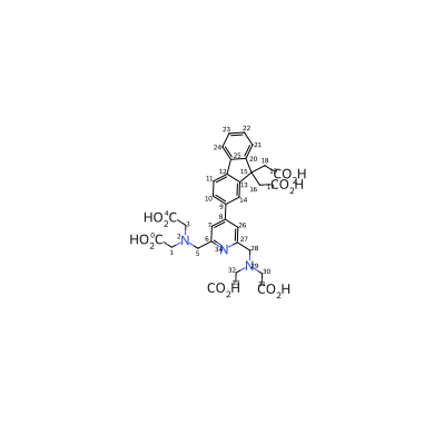 O=C(O)CN(CC(=O)O)Cc1cc(-c2ccc3c(c2)C(CC(=O)O)(CC(=O)O)c2ccccc2-3)cc(CN(CC(=O)O)CC(=O)O)n1